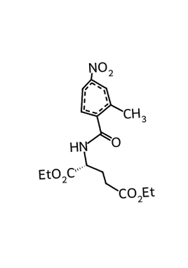 CCOC(=O)CC[C@@H](NC(=O)c1ccc([N+](=O)[O-])cc1C)C(=O)OCC